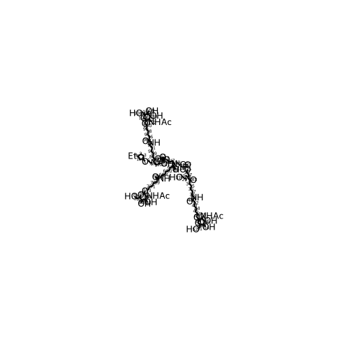 CCC1CCC(OCCN(CCOP(=O)(O)OCCN(CCOP(=O)(O)OCCN(CCO)C(=O)CCCCCNC(=O)CCCCCOC2OC(CO)C(O)C(O)C2NC(C)=O)C(=O)CCCCCNC(=O)CCCCCOC2OC(CO)C(O)C(O)C2NC(C)=O)C(=O)CCCCCNC(=O)CCCCCOC2OC(CO)C(O)C(O)C2NC(C)=O)C1